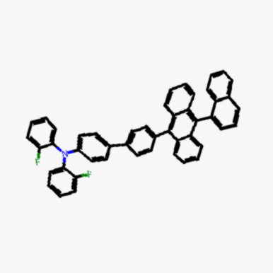 Fc1ccccc1N(c1ccc(-c2ccc(-c3c4ccccc4c(-c4cccc5ccccc45)c4ccccc34)cc2)cc1)c1ccccc1F